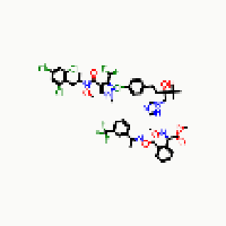 CC(C)(C)C(O)(CCc1ccc(Cl)cc1)Cn1cncn1.CO/N=C(/C(=O)OC)c1ccccc1CO/N=C(\C)c1cccc(C(F)(F)F)c1.CON(C(=O)c1cn(C)nc1C(F)F)C(C)Cc1c(Cl)cc(Cl)cc1Cl